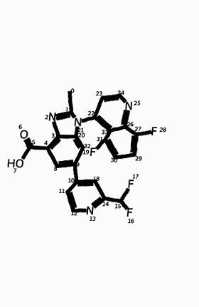 Cc1nc2c(C(=O)O)cc(-c3ccnc(C(F)F)c3)cc2n1-c1ccnc2c(F)ccc(F)c12